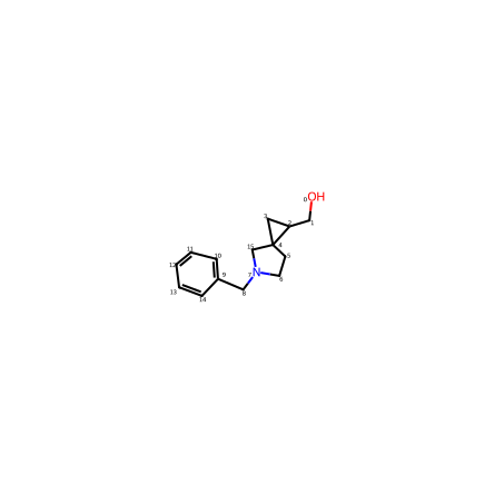 OCC1CC12CCN(Cc1ccccc1)C2